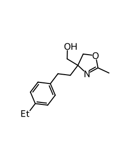 CCc1ccc(CCC2(CO)COC(C)=N2)cc1